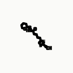 C#Cc1nc(/C=C/C=C/C(=O)NOC2CCCCO2)cs1